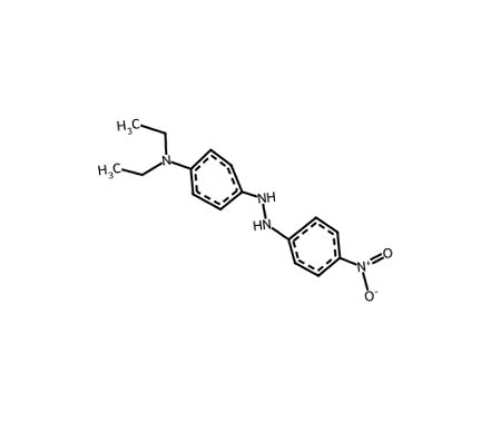 CCN(CC)c1ccc(NNc2ccc([N+](=O)[O-])cc2)cc1